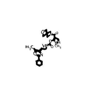 Cc1oc(-c2ccccc2)nc1CCNC(=O)Oc1c(C(=O)N2CC3(COC3)C2)cnn1C